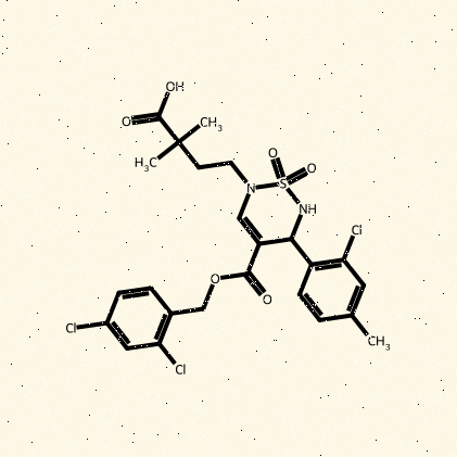 Cc1ccc(C2NS(=O)(=O)N(CCC(C)(C)C(=O)O)C=C2C(=O)OCc2ccc(Cl)cc2Cl)c(Cl)c1